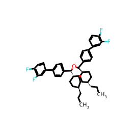 CCC[C@H]1CC[C@H](C(OC(c2ccc(-c3ccc(F)c(F)c3)cc2)[C@H]2CC[C@H](CCC)CC2)c2ccc(-c3ccc(F)c(F)c3)cc2)CC1